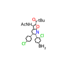 Bc1ccc(-c2nc3oc(C(=O)C(C)(C)C)c(NC(C)=O)c3cc2-c2ccc(Cl)cc2)c(Cl)c1